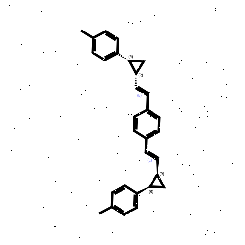 Cc1ccc([C@@H]2C[C@@H]2/C=C/c2ccc(/C=C/[C@H]3C[C@H]3c3ccc(C)cc3)cc2)cc1